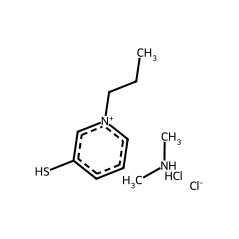 CCC[n+]1cccc(S)c1.CNC.Cl.[Cl-]